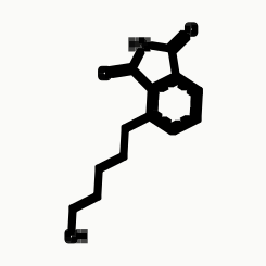 O=C1NC(=O)c2c(CCCCCO)cccc21